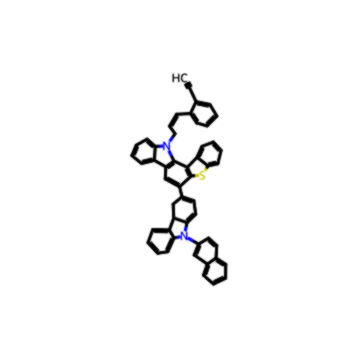 C#Cc1ccccc1/C=C\Cn1c2ccccc2c2cc(C3=CC=C4C(C3)c3ccccc3N4c3ccc4ccccc4c3)c3sc4ccccc4c3c21